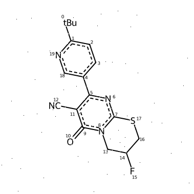 CC(C)(C)c1ccc(-c2nc3n(c(=O)c2C#N)CC(F)CS3)cn1